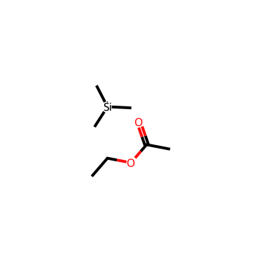 CCOC(C)=O.C[Si](C)C